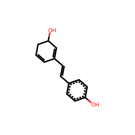 Oc1ccc(/C=C/C2=CC(O)CC=C2)cc1